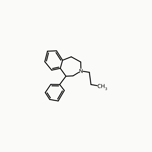 CCCN1CCc2ccccc2C(c2ccccc2)C1